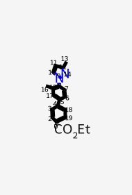 CCOC(=O)c1ccc(-c2ccc(-n3ccc(C)n3)c(C)c2)cc1